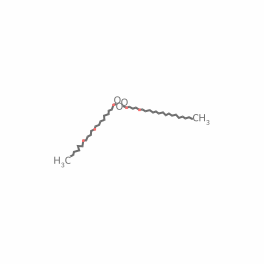 CCCCCCCCCCCCCCCCCCCCCCC(=O)OC(=O)CCCCCCCCCCCCCCCCCCCCCC